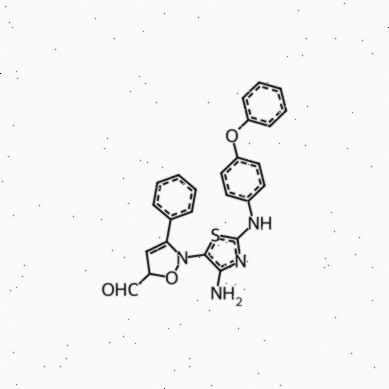 Nc1nc(Nc2ccc(Oc3ccccc3)cc2)sc1N1OC(C=O)C=C1c1ccccc1